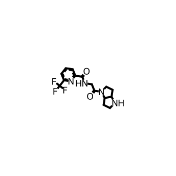 O=C(NCC(=O)N1CCC2NCCC21)c1cccc(C(F)(F)F)n1